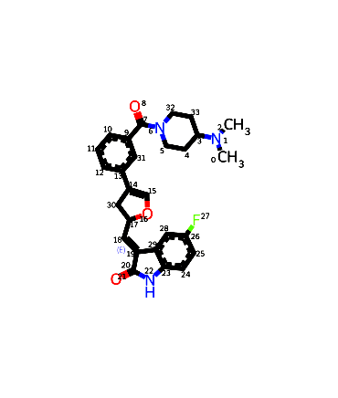 CN(C)C1CCN(C(=O)c2cccc(C3=COC(/C=C4/C(=O)Nc5ccc(F)cc54)C3)c2)CC1